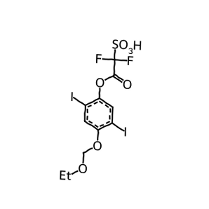 CCOCOc1cc(I)c(OC(=O)C(F)(F)S(=O)(=O)O)cc1I